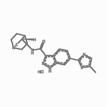 Cc1cnc(-c2ccc3c(C(=O)N[C@@H]4CN5CCC4CC5)n[nH]c3c2)s1.Cl